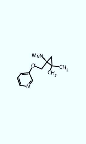 CN[C@@]1(COc2cccnc2)CC1(C)C